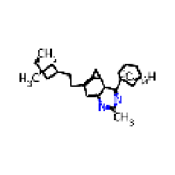 C=CC1(C)CC(CCC2=C3CC3C3C(=C2)N=C(C)N=C3C2C[C@H]3CCCC2CC3)C1